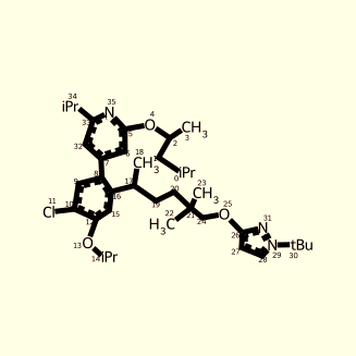 CC(C)CC(C)Oc1cc(-c2cc(Cl)c(OC(C)C)cc2C(C)CCC(C)(C)COc2ccn(C(C)(C)C)n2)cc(C(C)C)n1